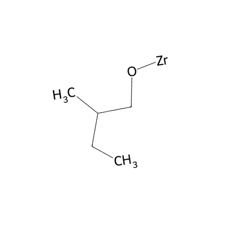 CCC(C)C[O][Zr]